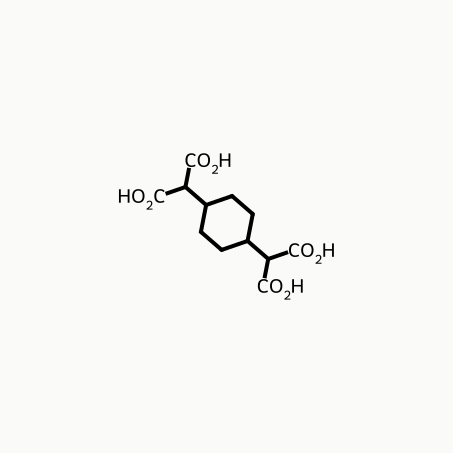 O=C(O)C(C(=O)O)C1CCC(C(C(=O)O)C(=O)O)CC1